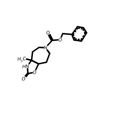 CC12CCN(C(=O)OCc3ccccc3)CCC1OC(=O)N2